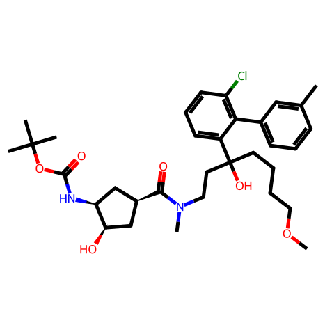 COCCCCC(O)(CCN(C)C(=O)[C@H]1C[C@@H](O)[C@@H](NC(=O)OC(C)(C)C)C1)c1cccc(Cl)c1-c1cccc(C)c1